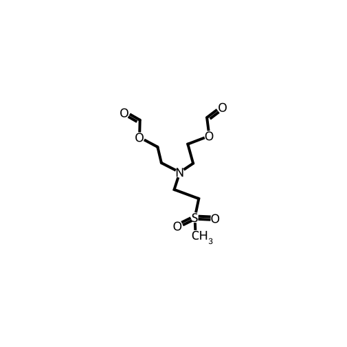 CS(=O)(=O)CCN(CCOC=O)CCOC=O